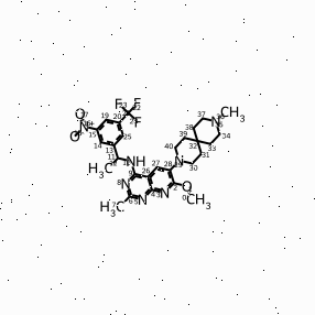 COc1nc2nc(C)nc(NC(C)c3cc([N+](=O)[O-])cc(C(F)(F)F)c3)c2cc1N1CCC2(CCN(C)CC2)CC1